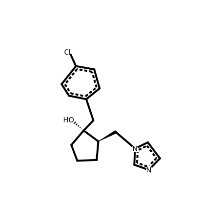 O[C@@]1(Cc2ccc(Cl)cc2)CCC[C@@H]1Cn1ccnc1